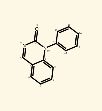 O=c1ncc2ccccc2n1-c1ccccc1